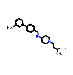 Cc1cccc(-c2ccc(CNC3CCN(CCC(C)C)CC3)cc2)c1